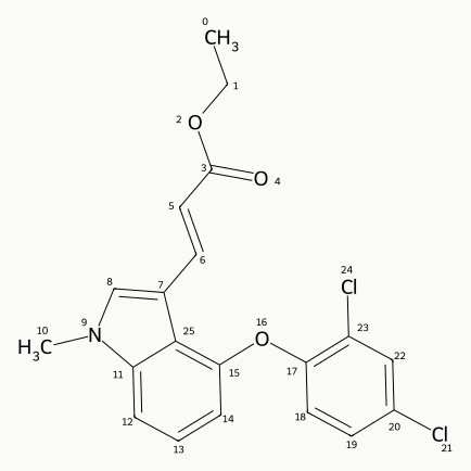 CCOC(=O)/C=C/c1cn(C)c2cccc(Oc3ccc(Cl)cc3Cl)c12